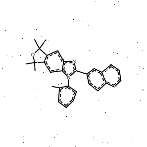 Cc1ccccc1-n1c(-c2ccc3ccccc3c2)nc2cc3c(cc21)C(C)(C)OC3(C)C